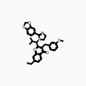 COc1cccc(Cc2c(C(C(C)C)N3CCN=C3c3ccc4c(c3)OCO4)oc3cc(CI)ccc3c2=O)c1